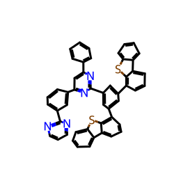 c1ccc(-c2cc(-c3cccc(-c4ncccn4)c3)nc(-c3cc(-c4cccc5c4sc4ccccc45)cc(-c4cccc5c4sc4ccccc45)c3)n2)cc1